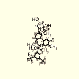 Cc1ccc(-c2cc(N3C[C@H](O)C[C@]3(O)S(C)(=O)=O)ncc2N(C)C(=O)C(C)(C)c2cc(C(F)(F)F)cc(C(F)(F)F)c2)cc1F